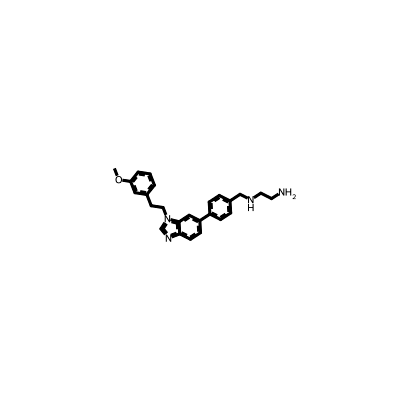 COc1cccc(CCn2cnc3ccc(-c4ccc(CNCCN)cc4)cc32)c1